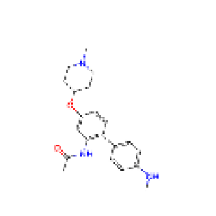 CNc1ccc(-c2ccc(OC3CCN(C)CC3)cc2NC(C)=O)cc1